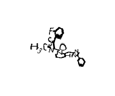 Cc1nc(C(=O)N2CCCCC2Cc2ncc(-c3ccccc3)[nH]2)c(-c2ccccc2F)s1